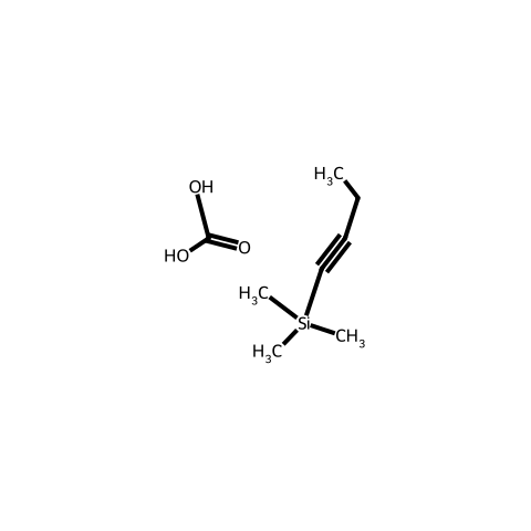 CCC#C[Si](C)(C)C.O=C(O)O